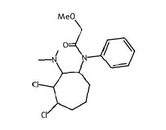 COCC(=O)N(c1ccccc1)C1CCCC(Cl)C(Cl)C1N(C)C